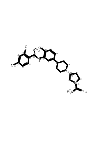 C[C@@H](Nc1cc(C2CCN([C@@H]3CCN(C(N)=O)C3)CC2)ccc1Cl)c1ccc(Cl)cc1Cl